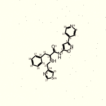 O=C(Nc1cc(-c2ccncc2)no1)C(Cc1ccccc1)NCc1cscn1